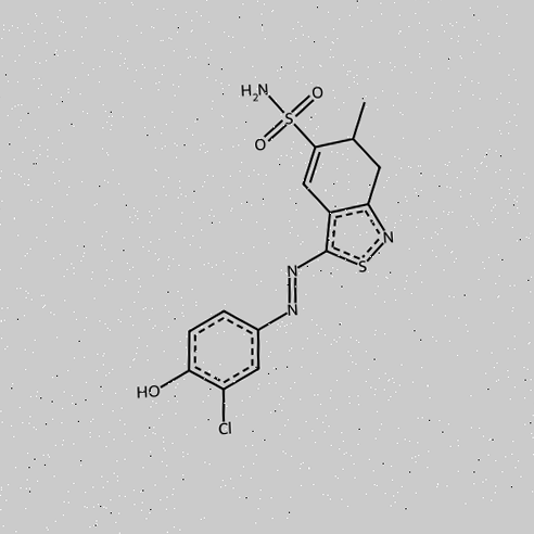 CC1Cc2nsc(/N=N/c3ccc(O)c(Cl)c3)c2C=C1S(N)(=O)=O